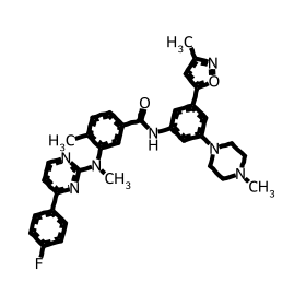 Cc1cc(-c2cc(NC(=O)c3ccc(C)c(N(C)c4nccc(-c5ccc(F)cc5)n4)c3)cc(N3CCN(C)CC3)c2)on1